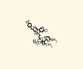 Cc1nn(C)c(O[C@@H](C)CCNc2cc(Cl)ncc2-c2cnc(CN3CCC(F)(F)CC3)cn2)c1-c1nccc(N)n1